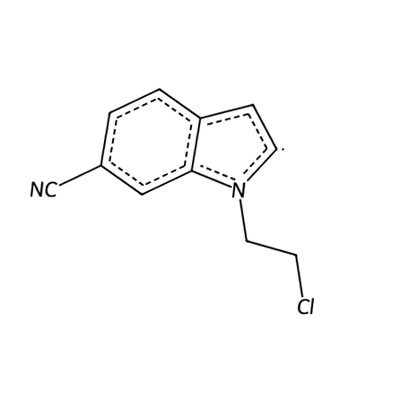 N#Cc1ccc2c[c]n(CCCl)c2c1